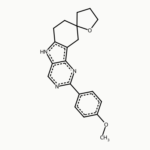 COc1ccc(-c2ncc3[nH]c4c(c3n2)CC2(CCCO2)CC4)cc1